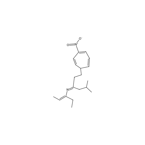 C/C=C(CC)\N=C(\CCC1C=CC=C([N+](=O)[O-])C=C1)CC(C)C